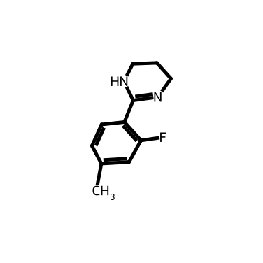 Cc1ccc(C2=NCCCN2)c(F)c1